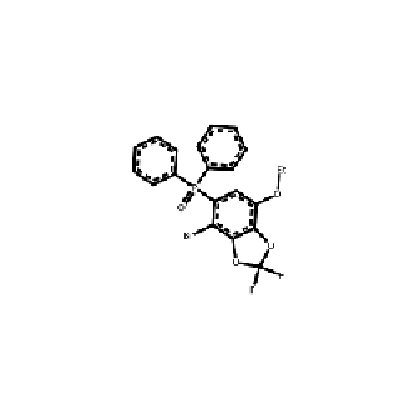 CCOc1cc(P(=O)(c2ccccc2)c2ccccc2)c(Br)c2c1OC(F)(F)O2